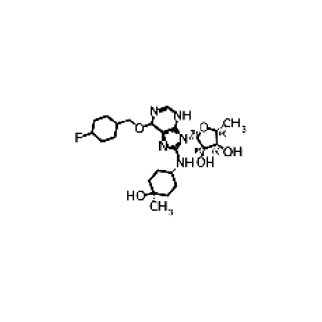 C[C@H]1O[C@@H](n2c(N[C@H]3CC[C@](C)(O)CC3)nc3c2NC=NC3OCC2CCC(F)CC2)[C@H](O)[C@@H]1O